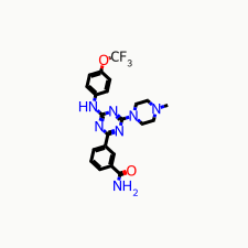 CN1CCN(c2nc(Nc3ccc(OC(F)(F)F)cc3)nc(-c3cccc(C(N)=O)c3)n2)CC1